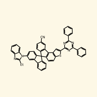 CCc1nc2ccccc2n1-c1ccc2c(c1)-c1ccccc1C21c2ccc(C#N)cc2-c2c1ccc1sc(-c3nc(-c4ccccc4)nc(-c4ccccc4)n3)cc21